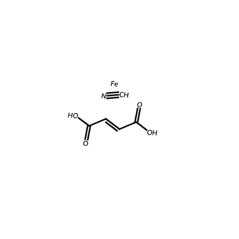 C#N.O=C(O)/C=C/C(=O)O.[Fe]